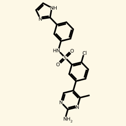 Cc1nc(N)ncc1-c1ccc(Cl)c(S(=O)(=O)Nc2cccc(-c3ncc[nH]3)c2)c1